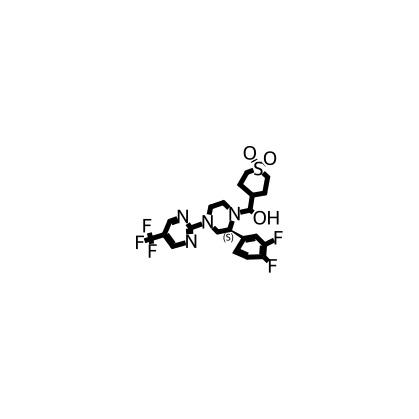 O=S1(=O)CCC(C(O)N2CCN(c3ncc(C(F)(F)F)cn3)C[C@@H]2c2ccc(F)c(F)c2)CC1